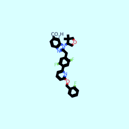 CC1(C)COCC1n1c(Cc2cc(F)c(-c3cccc(OCc4ccccc4F)n3)cc2F)nc2ccc(C(=O)O)cc21